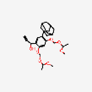 C#CC(O)c1cc(C23CC4CC(CC(C4)C2)C3)c(OCOC(C)OC)cc1OCOC(C)OC